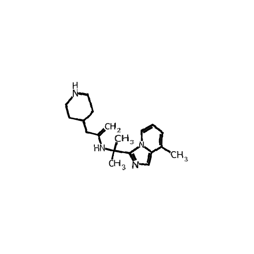 C=C(CC1CCNCC1)NC(C)(C)c1ncc2c(C)cccn12